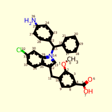 COc1cc(C(=O)O)ccc1Cc1cn(C(c2ccccc2)c2ccc(N)cc2)c2cc(Cl)ccc12